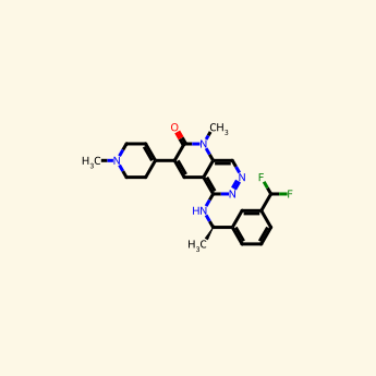 C[C@@H](Nc1nncc2c1cc(C1=CCN(C)CC1)c(=O)n2C)c1cccc(C(F)F)c1